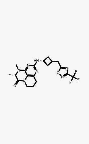 C[C@H]1C(=O)N2CCCc3nc(N[C@H]4C[C@H](Cc5nc(C(F)(F)F)no5)C4)nc(c32)N1C